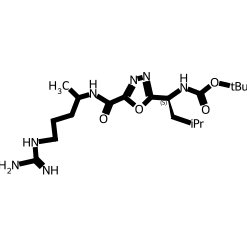 CC(C)C[C@H](NC(=O)OC(C)(C)C)c1nnc(C(=O)NC(C)CCCNC(=N)N)o1